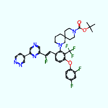 CC(C)(C)OC(=O)N1CCC2(CCCN(c3c(/C=C(\F)c4cncc(-c5ccnnc5)n4)ccc(Oc4ccc(F)cc4F)c3C(F)(F)F)C2)CC1